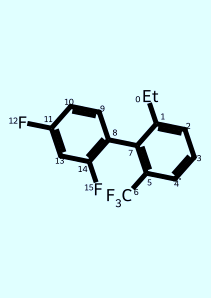 CCc1cc[c]c(C(F)(F)F)c1-c1ccc(F)cc1F